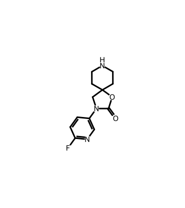 O=C1OC2(CCNCC2)CN1c1ccc(F)nc1